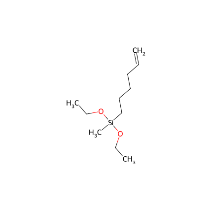 C=CCCCC[Si](C)(OCC)OCC